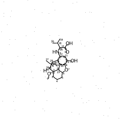 CO[C@@]12CCCC3Oc4c(O)cc(N[C@H](C(=O)O)C(C)C)c5c4[C@@]31CCN(C)[C@@H]2C5